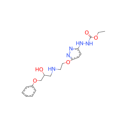 CCOC(=O)NNc1ccc(OCCNCC(O)COc2ccccc2)nn1